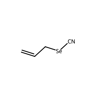 C=CC[Se]C#N